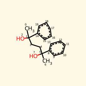 CC(O)(CCC(C)(O)c1ccccc1)c1ccccc1